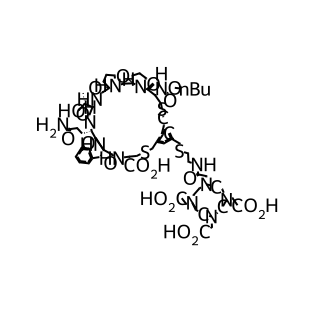 CCCCOC(=O)N[C@H]1CSCc2cc(CSCCNC(=O)CN3CCN(CC(=O)O)CCN(CC(=O)O)CCN(CC(=O)O)CC3)cc(c2)CSC[C@@H](C(=O)O)NC(=O)[C@H](Cc2ccccc2)NC(=O)[C@H](CCC(N)=O)NC(=O)[C@H]([C@@H](C)O)NC(=O)[C@@H]2CCCN2C(=O)[C@@H]2CCCN2C1=O